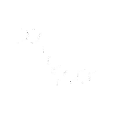 CCN1CCN(Cc2ccc(NC(=O)COc3ccc(Br)c(C#N)c3)cc2C(F)(F)F)CC1